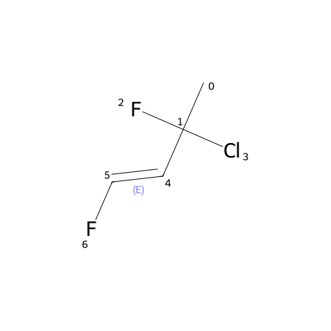 CC(F)(Cl)/C=C/F